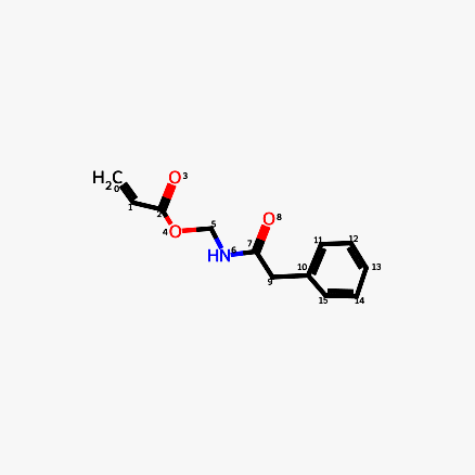 C=CC(=O)OCNC(=O)Cc1ccccc1